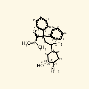 CC(CC(C(=O)N(C)C)(c1ccccc1)c1ccccc1)N1CC[C@@H](N)[C@H](O)C1